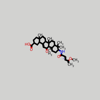 C=C(/C=C/C(=O)NC1CCC2(C)C(CCC3(C)C4CCC5(C)CCC(C(=O)O)CC5C4=CC(=O)C32)C1(C)C)OC